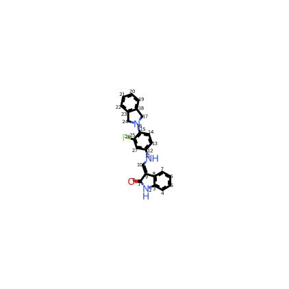 O=C1Nc2ccccc2/C1=C\Nc1ccc(N2Cc3ccccc3C2)c(F)c1